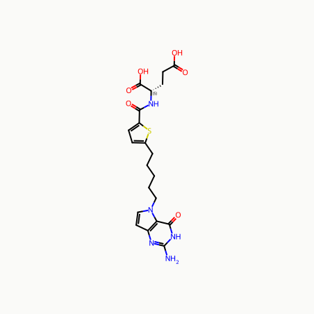 Nc1nc2ccn(CCCCCc3ccc(C(=O)N[C@@H](CCC(=O)O)C(=O)O)s3)c2c(=O)[nH]1